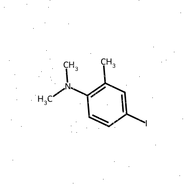 Cc1cc(I)ccc1N(C)C